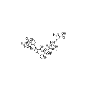 CC(C)C(N)C(=O)O.CC(N)C(=O)O.CCC(C)C(N)C(=O)O.N=C(N)NCCCC(N)C(=O)O.NCC(=O)O.O=C(O)[C@@H]1CCCN1